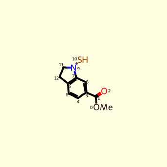 COC(=O)c1ccc2c(c1)N(S)CC2